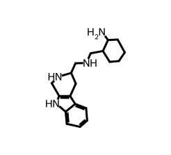 NC1CCCCC1CNCC1Cc2c([nH]c3ccccc23)CN1